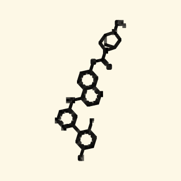 CN1CC2CC1CN2C(=O)Oc1ccc2c(Nc3cnnc(-c4cc(Cl)ccc4F)c3)ccnc2c1